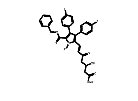 COC(=O)CC(O)CC(=O)C=Cc1c(-c2ccc(F)cc2)c(-c2ccc(F)cc2)c(C(=O)OCc2ccccc2)n1C(C)C